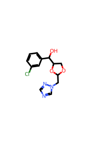 OC(c1cccc(Cl)c1)C1COC(Cn2cncn2)O1